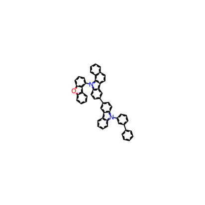 c1ccc(-c2cccc(-n3c4ccccc4c4cc(-c5ccc6c(c5)c5ccc7ccccc7c5n6-c5cccc6oc7ccccc7c56)ccc43)c2)cc1